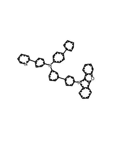 c1ccc(-c2ccc(N(c3ccc(-c4ccccn4)cc3)c3cccc(-c4ccc(-n5c6ccccc6c6oc7ccccc7c65)cc4)c3)cc2)cc1